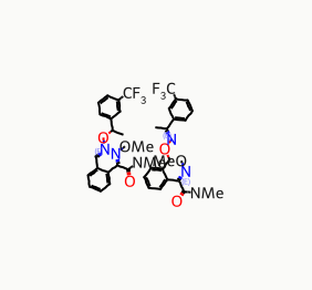 CNC(=O)/C(=N/OC)c1ccccc1CO/N=C(\C)c1cccc(C(F)(F)F)c1.CNC(=O)C(=NOC)c1ccccc1/C=N/OC(C)c1cccc(C(F)(F)F)c1